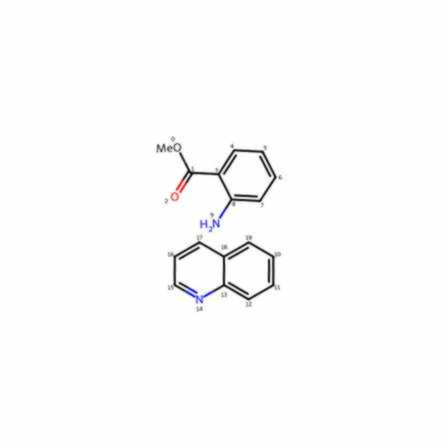 COC(=O)c1ccccc1N.c1ccc2ncccc2c1